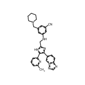 Cc1cccc(-c2[nH]c(CNc3cc(C#N)cc(CN4CCCCC4)c3)nc2-c2ccc3ncnn3c2)n1